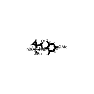 CCCC[PH](CCCC)(CCCC)C1(C(=O)Nc2c(C)cc(OC)cc2C)CC1